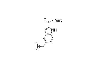 CCCC(C)C(=O)c1cc2cc(CN(C)C)ccc2[nH]1